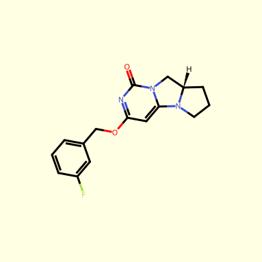 O=c1nc(OCc2cccc(F)c2)cc2n1C[C@@H]1CCCN21